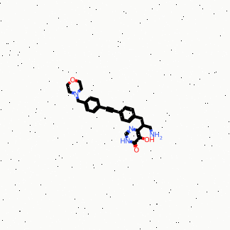 NCC(Cc1ccc(C#Cc2ccc(CN3CCOCC3)cc2)cc1)c1nc[nH]c(=O)c1O